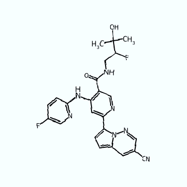 CC(C)(O)C(F)CNC(=O)c1cnc(-c2ccc3cc(C#N)cnn23)cc1Nc1ccc(F)cn1